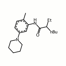 CCCCC(CC)C(=O)Nc1cc(N2CCCCC2)ccc1C